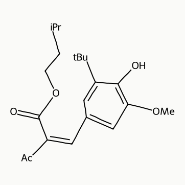 COc1cc(C=C(C(C)=O)C(=O)OCCC(C)C)cc(C(C)(C)C)c1O